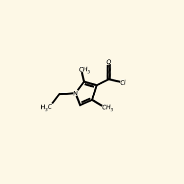 CCn1cc(C)c(C(=O)Cl)c1C